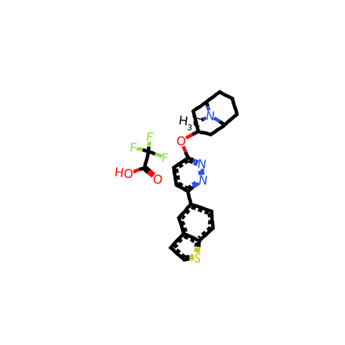 CN1C2CCCC1CC(Oc1ccc(-c3ccc4sccc4c3)nn1)C2.O=C(O)C(F)(F)F